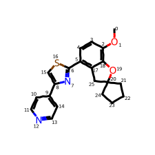 COc1ccc(-c2nc(-c3ccncc3)cs2)c2c1OC1(CCCC1)C2